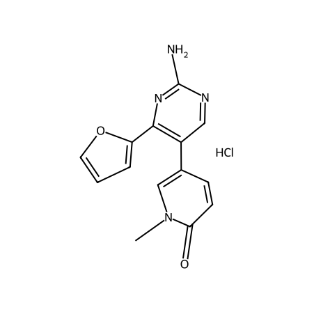 Cl.Cn1cc(-c2cnc(N)nc2-c2ccco2)ccc1=O